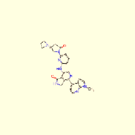 Cn1ccc2c(-c3ncc(Nc4cccc(N5C[C@H](N6CCC6)CC5=O)n4)c4c3CNC4=O)ccnc21